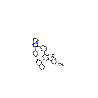 Cc1ccc(-c2cc(-c3cccc(-c4c(-c5ccccc5)nc5ccccn45)c3)cc(-c3cccc4ccccc34)c2)c(C)n1